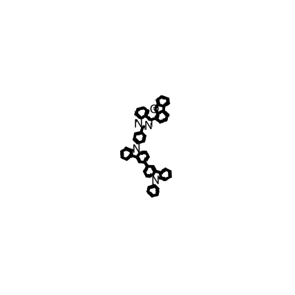 c1ccc(-n2c3ccccc3c3cc(-c4ccc5c(c4)c4ccccc4n5-c4ccc(-c5nc(-c6cccc7c6oc6ccccc67)c6ccccc6n5)cc4)ccc32)cc1